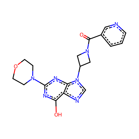 O=C(c1cccnc1)N1CC(n2cnc3c(O)nc(N4CCOCC4)nc32)C1